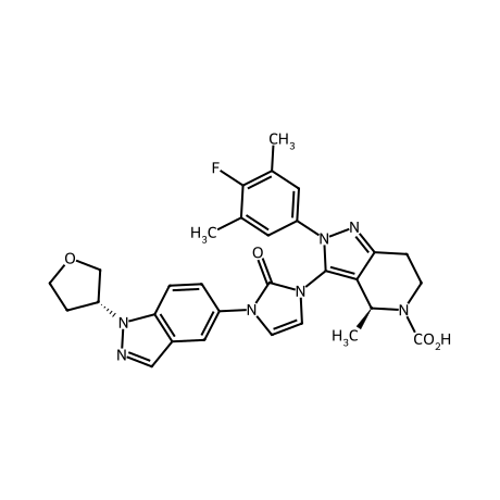 Cc1cc(-n2nc3c(c2-n2ccn(-c4ccc5c(cnn5[C@@H]5CCOC5)c4)c2=O)[C@H](C)N(C(=O)O)CC3)cc(C)c1F